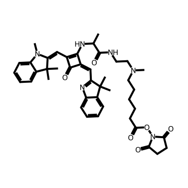 CC(NC1=C(/C=C2/N(C)c3ccccc3C2(C)C)C(=O)/C1=C\C1=Nc2ccccc2C1(C)C)C(=O)NCCN(C)CCCCCC(=O)ON1C(=O)CCC1=O